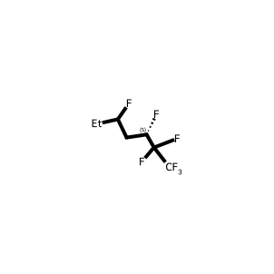 [CH2]CC(F)C[C@H](F)C(F)(F)C(F)(F)F